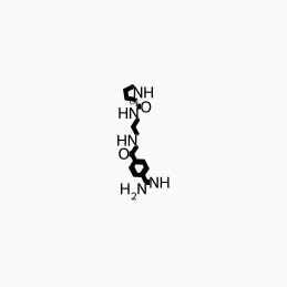 N=C(N)c1ccc(C(=O)CNCCCNC(=O)[C@@H]2CCCN2)cc1